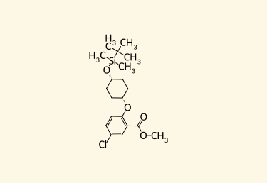 COC(=O)c1cc(Cl)ccc1O[C@H]1CC[C@@H](O[Si](C)(C)C(C)(C)C)CC1